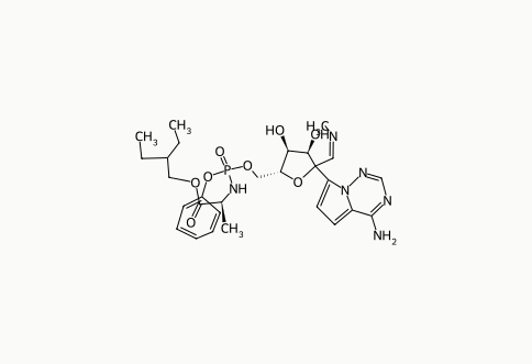 CCC(CC)COC(=O)[C@H](C)NP(=O)(OC[C@H]1OC(/C=N\C)(c2ccc3c(N)ncnn23)[C@H](O)[C@@H]1O)Oc1ccccc1